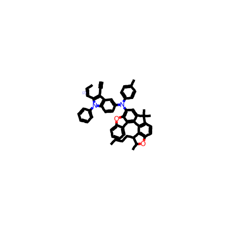 C#Cc1c(/C=C\C)n(-c2ccccc2)c2ccc(N(c3ccc(C)cc3)c3cc4c(c5c3oc3ccccc35)-c3c(ccc5c3C(CCCC)C(C)O5)C4(C)C)cc12